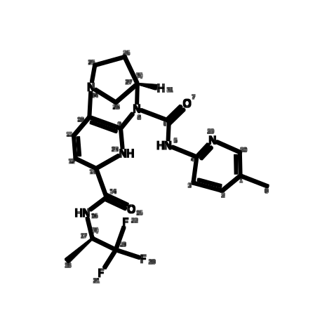 Cc1ccc(NC(=O)N2C3=C(C=CC(C(=O)N[C@H](C)C(F)(F)F)N3)N3CC[C@H]2C3)nc1